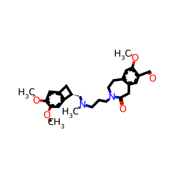 COc1cc2c(cc1C=O)CC(=O)N(CCCN(C)C[C@H]1Cc3cc(OC)c(OC)cc31)CC2